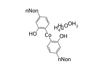 C.CCCCCCCCCc1cc[c]([Co][c]2ccc(CCCCCCCCC)cc2O)c(O)c1.O.O